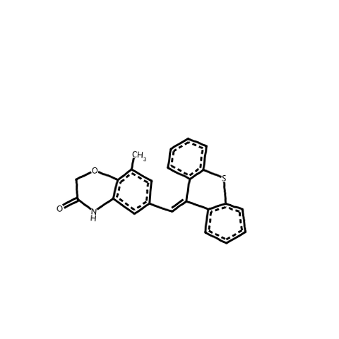 Cc1cc(C=C2c3ccccc3Sc3ccccc32)cc2c1OCC(=O)N2